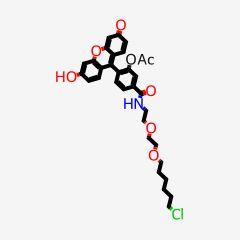 CC(=O)Oc1cc(C(=O)NCCOCCOCCCCCCCl)ccc1-c1c2ccc(=O)cc-2oc2cc(O)ccc12